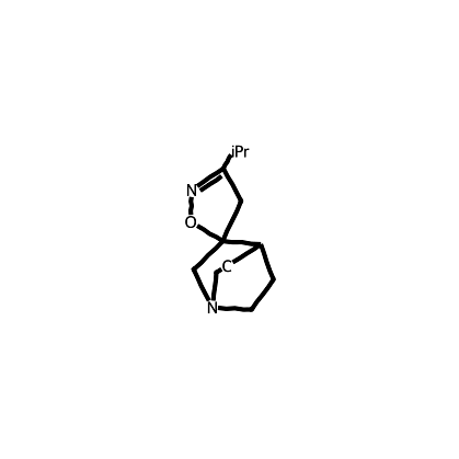 CC(C)C1=NOC2(C1)CN1CCC2CC1